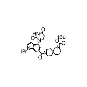 CC(C)n1ccc2c(N3CCC(=O)NC3=O)cc(C(=O)N3CCC4(CCCN(C(=O)OC(C)(C)C)C4)CC3)cc21